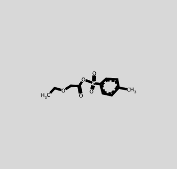 CCOCC(=O)OS(=O)(=O)c1ccc(C)cc1